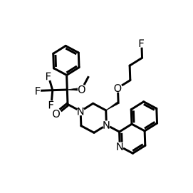 CO[C@](C(=O)N1CCN(c2nccc3ccccc23)[C@H](COCCCF)C1)(c1ccccc1)C(F)(F)F